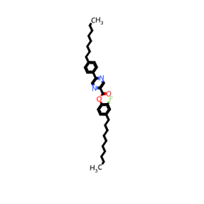 CCCCCCCCCCc1ccc(OC(=O)c2cnc(-c3ccc(CCCCCCCC)cc3)cn2)c(F)c1